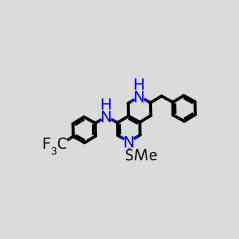 CSN1C=C(Nc2ccc(C(F)(F)F)cc2)C2=C(CC(Cc3ccccc3)NC2)C1